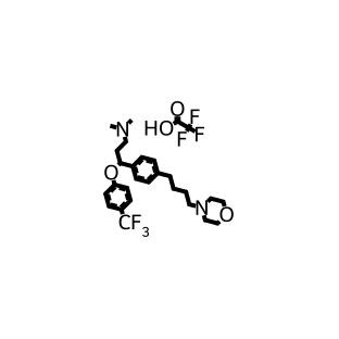 CN(C)CCC(Oc1ccc(C(F)(F)F)cc1)c1ccc(CCCCN2CCOCC2)cc1.O=C(O)C(F)(F)F